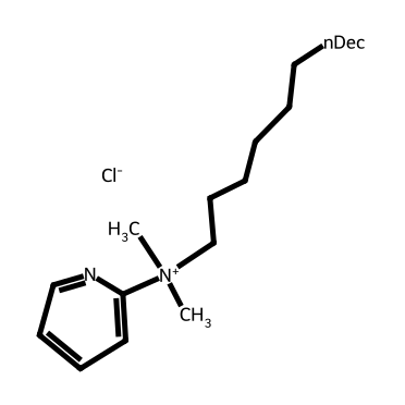 CCCCCCCCCCCCCCCC[N+](C)(C)c1ccccn1.[Cl-]